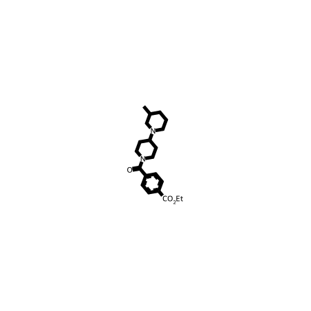 CCOC(=O)c1ccc(C(=O)N2CCC(N3CCCC(C)C3)CC2)cc1